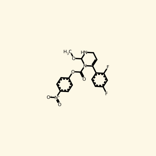 COC1NCC=C(c2ccc(F)cc2F)N1C(=O)Oc1ccc([N+](=O)[O-])cc1